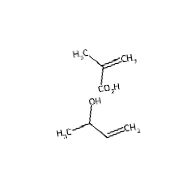 C=C(C)C(=O)O.C=CC(C)O